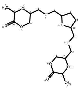 CC1OC(COCC2CCC(COCC3COC(=O)C(C)O3)O2)COC1=O